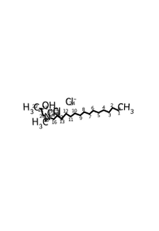 CCCCCCCCCCCCCCC(Cl)C[N+](C)(C)CC(C)O.[Cl-]